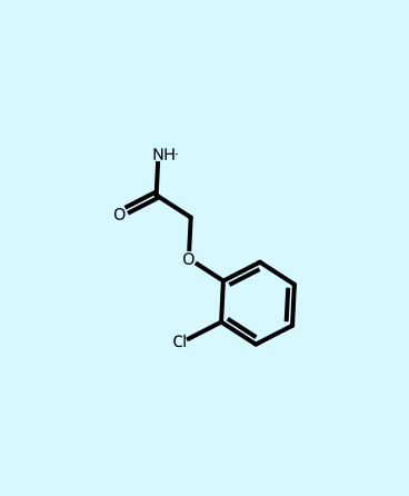 [NH]C(=O)COc1ccccc1Cl